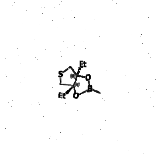 CC[C@@]12CSC[C@]1(CC)OB(C)O2